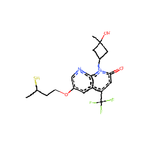 CC(S)CCOc1cnc2c(c1)c(C(F)(F)F)cc(=O)n2C1CC(C)(O)C1